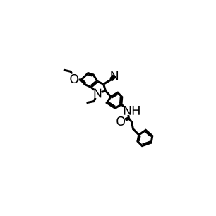 CCOc1ccc2c(c1)N(CC)C(c1ccc(NC(=O)CCc3ccccc3)cc1)C2C#N